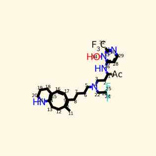 CC(=O)C(CCN(CCCCC1=C(\C)CCC2=C(/C=C\1)CCCN2)CC(F)F)Nc1ccnc(C(F)(F)F)[n+]1O